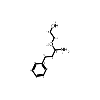 NC(CCc1ccccc1)OCCO